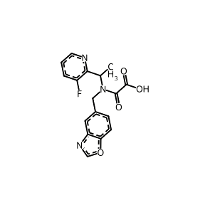 CC(c1ncccc1F)N(Cc1ccc2ocnc2c1)C(=O)C(=O)O